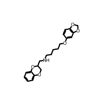 c1ccc2c(c1)OCC(CNCCCCCOc1ccc3c(c1)OCO3)O2